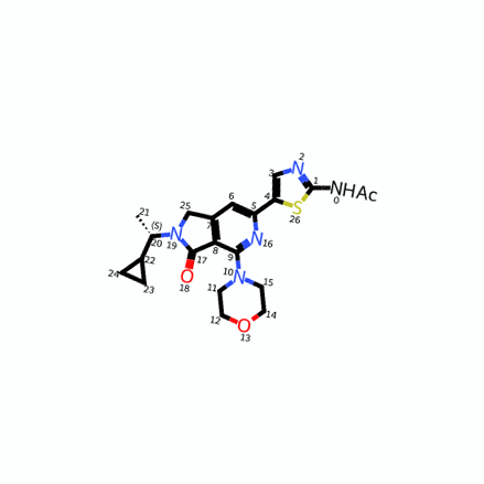 CC(=O)Nc1ncc(-c2cc3c(c(N4CCOCC4)n2)C(=O)N([C@@H](C)C2CC2)C3)s1